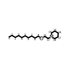 CCCCCCCCCCOCCN1CCCCC1